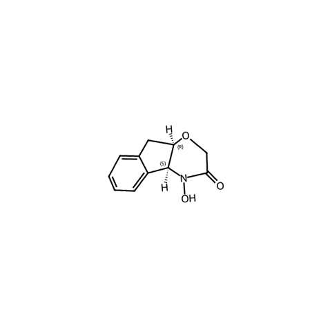 O=C1CO[C@@H]2Cc3ccccc3[C@@H]2N1O